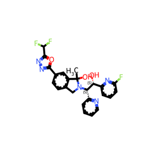 CC1(O)c2cc(-c3nnc(C(F)F)o3)ccc2CN1[C@@H](c1ccccn1)[C@H](O)c1cccc(F)n1